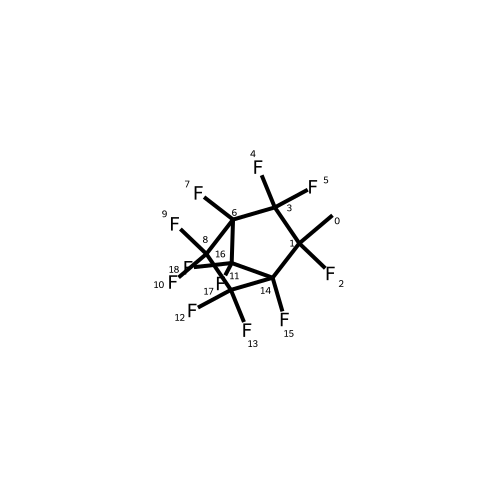 CC1(F)C(F)(F)C2(F)C(F)(F)C(F)(F)C1(F)C2(F)F